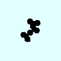 c1ccc2c(c1)c1ccncc1n2-c1ccc(-n2c3ccccc3c3c4c5ccccc5n5c6ccccc6c(cc32)c45)cc1